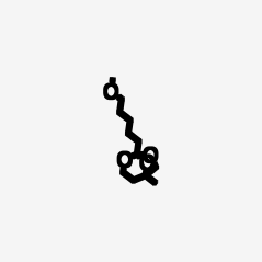 COCCCCCC12OCCC(C)(CO1)O2